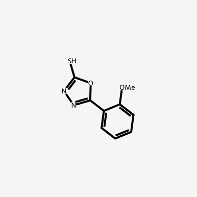 COc1ccccc1-c1nnc(S)o1